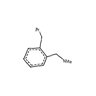 CNCc1ccccc1CC(C)C